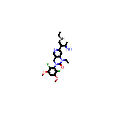 CCB/C=C(\C(C)=N)c1cc2c(cn1)CN(c1c(F)c(OC)cc(OC)c1F)C(=O)N2CC